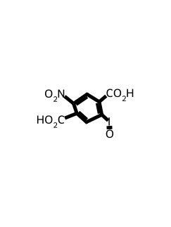 O=Ic1cc(C(=O)O)c([N+](=O)[O-])cc1C(=O)O